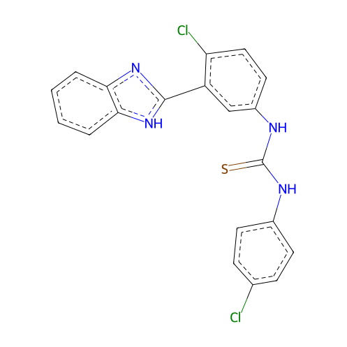 S=C(Nc1ccc(Cl)cc1)Nc1ccc(Cl)c(-c2nc3ccccc3[nH]2)c1